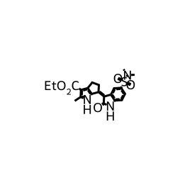 CCOC(=O)c1c(C)[nH]c2c1CC/C2=C1/C(=O)Nc2ccc(S(=O)(=O)N(C)C)cc21